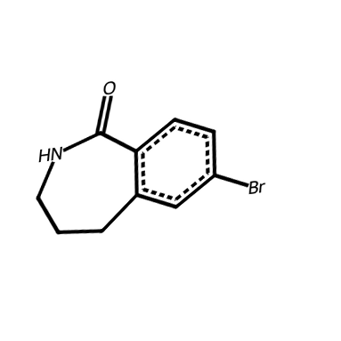 O=C1NCCCc2cc(Br)ccc21